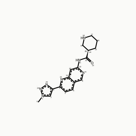 Cn1cc(-c2ccc3cnc(NC(=O)[C@@H]4CCCNC4)cc3n2)nn1